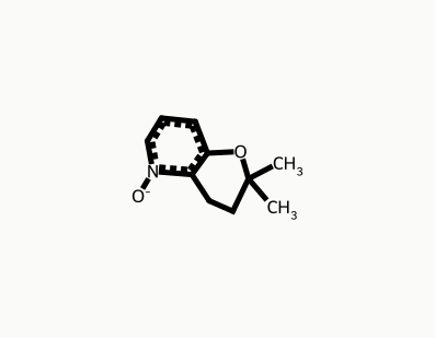 CC1(C)CCc2c(ccc[n+]2[O-])O1